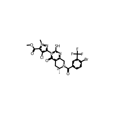 COC(=O)c1c(Cl)c(-n2c(S)nc3c(c2=O)C[C@@H](C)N(C(=O)c2ccc(Br)c(C(F)(F)F)c2)C3)nn1C